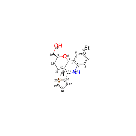 CCc1ccc2c(c1)C1O[C@H](CO)CC[C@@H]1[C@@H](c1cccs1)N2